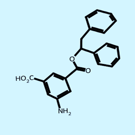 Nc1cc(C(=O)O)cc(C(=O)OC(Cc2ccccc2)c2ccccc2)c1